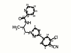 CC(Cn1ccc(-c2ccc(C#N)c(Cl)c2)n1)NC(=O)c1ccccn1